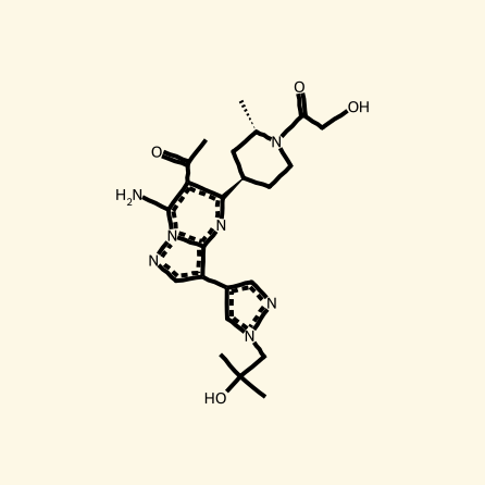 CC(=O)c1c([C@@H]2CCN(C(=O)CO)[C@@H](C)C2)nc2c(-c3cnn(CC(C)(C)O)c3)cnn2c1N